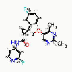 Cc1ncc(OC[C@@]2(C3C=CC=C(F)C3)C[C@H]2C(=O)Nc2ccnc(F)c2)c(C)n1